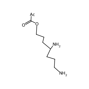 CC(=O)C(=O)OCCCC(N)CCCN